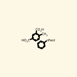 CCCCCc1ccccc1.Cc1ccc(C(=O)O)cc1C(=O)O